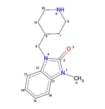 Cn1c(=O)n(CC2CCNCC2)c2ccccc21